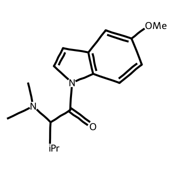 COc1ccc2c(ccn2C(=O)C(C(C)C)N(C)C)c1